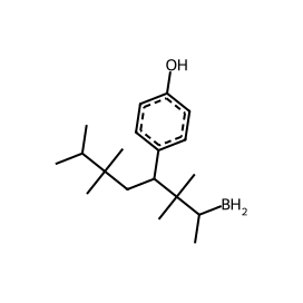 BC(C)C(C)(C)C(CC(C)(C)C(C)C)c1ccc(O)cc1